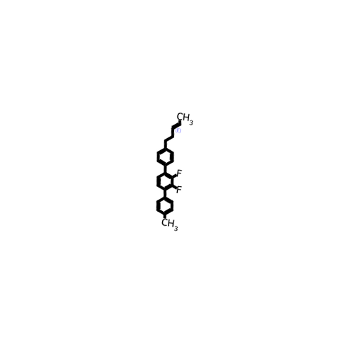 C/C=C/CCc1ccc(-c2ccc(-c3ccc(C)cc3)c(F)c2F)cc1